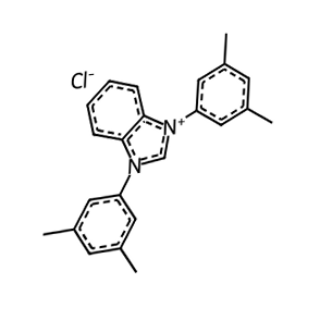 Cc1cc(C)cc(-n2c[n+](-c3cc(C)cc(C)c3)c3ccccc32)c1.[Cl-]